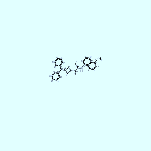 Cc1nccc2c(NC(=O)NC3CN(C(c4ccccc4)c4ccccc4)C3)cccc12